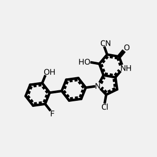 N#Cc1c(O)c2c(cc(Cl)n2-c2ccc(-c3c(O)cccc3F)cc2)[nH]c1=O